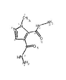 Cn1ncc(C(=O)NN)c1C(=O)NN